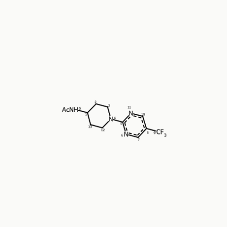 CC(=O)NC1CCN(c2ncc(C(F)(F)F)cn2)CC1